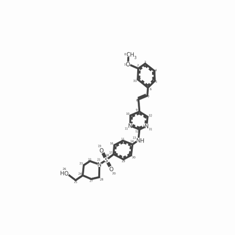 COc1cccc(/C=C/c2cnc(Nc3ccc(S(=O)(=O)N4CCC(CO)CC4)cc3)nc2)c1